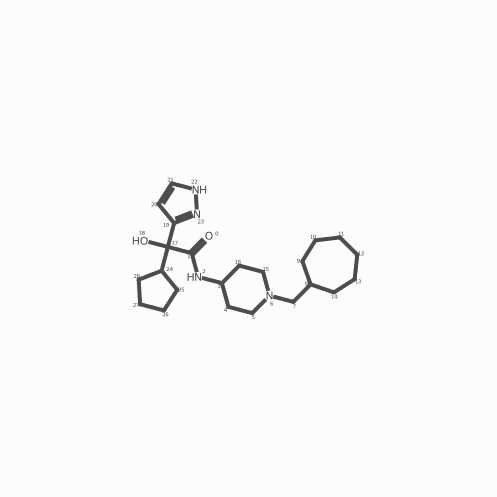 O=C(NC1CCN(CC2CCCCCC2)CC1)C(O)(c1cc[nH]n1)C1CCCC1